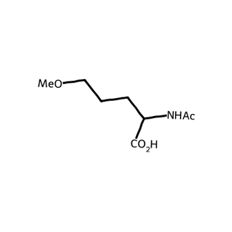 COCCCC(NC(C)=O)C(=O)O